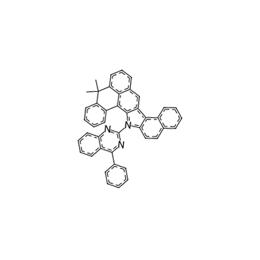 CC1(C)c2ccccc2-c2c3c1cccc3cc1c3c4ccccc4ccc3n(-c3nc(-c4ccccc4)c4ccccc4n3)c21